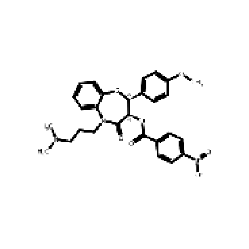 COc1ccc([C@@H]2Sc3ccccc3N(CCCN(C)C)C(=O)[C@@H]2OC(=O)c2ccc([N+](=O)[O-])cc2)cc1